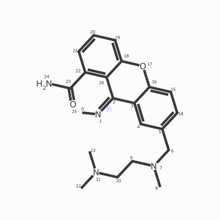 C/N=c1/c2cc(CN(C)CCN(C)C)ccc2oc2cccc(C(N)=O)c12